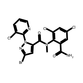 CN(C(=O)c1cc(Br)nn1-c1ncccc1Cl)c1c(Cl)cc(Cl)cc1C(N)=O